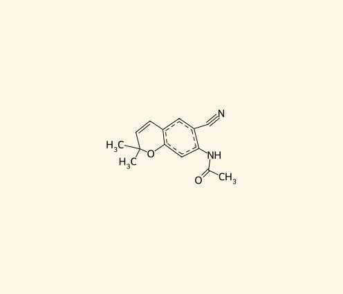 CC(=O)Nc1cc2c(cc1C#N)C=CC(C)(C)O2